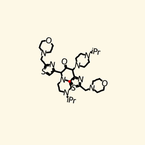 CC(C)N1CCN(C(C(=O)C(c2csc(CN3CCOCC3)n2)N2CCN(C(C)C)CC2)c2csc(CN3CCOCC3)n2)CC1